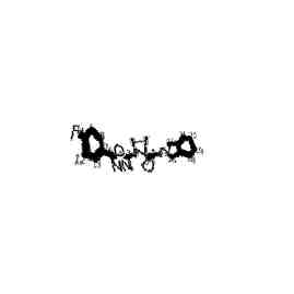 O=C(Nc1nnc(-c2ccc(F)cc2)o1)N1Cc2ccccc2C1